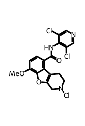 COc1ccc(C(=O)Nc2c(Cl)cncc2Cl)c2c3c(oc12)CN(Cl)CC3